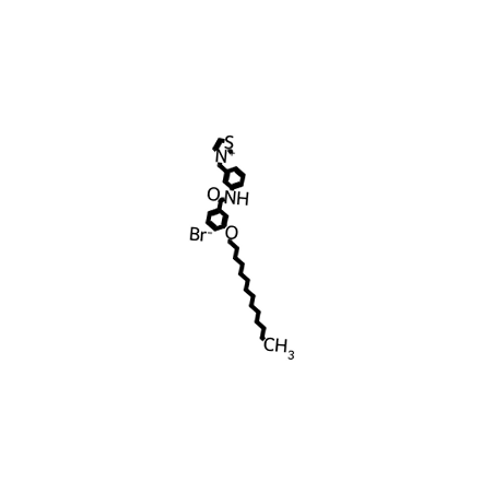 CCCCCCCCCCCCCCOc1cccc(C(=O)Nc2cccc(C[n+]3ccsc3)c2)c1.[Br-]